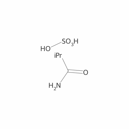 CC(C)C(N)=O.O=S(=O)(O)O